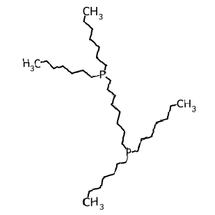 CCCCCCCP(CCCCCCC)CCCCCCCCP(CCCCCCC)CCCCCCC